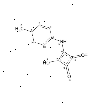 CC1C=CC(Nc2c(O)c(=O)c2=O)=CC1